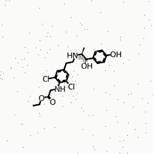 CCOC(=O)CNc1c(Cl)cc(CCN[C@@H](C)[C@@H](O)c2ccc(O)cc2)cc1Cl